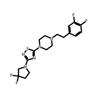 Fc1ccc(CCN2CCN(c3nc(N4CCC(F)(F)C4)ns3)CC2)cc1F